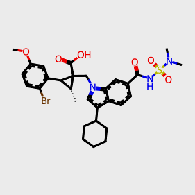 COc1ccc(Br)c(C2[C@@H](C)C2(Cn2cc(C3CCCCC3)c3ccc(C(=O)NS(=O)(=O)N(C)C)cc32)C(=O)O)c1